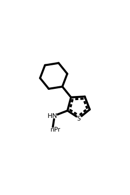 CCCNc1sccc1C1CCCCC1